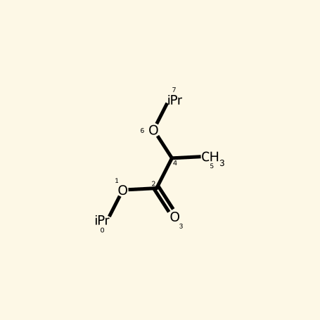 CC(C)OC(=O)C(C)OC(C)C